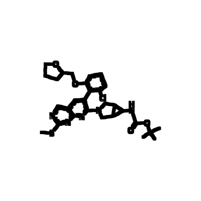 CSc1ncc2cc(-c3c(Cl)cccc3OCC3CCCO3)c(N3CC4C(C3)C4NC(=O)OC(C)(C)C)nc2n1